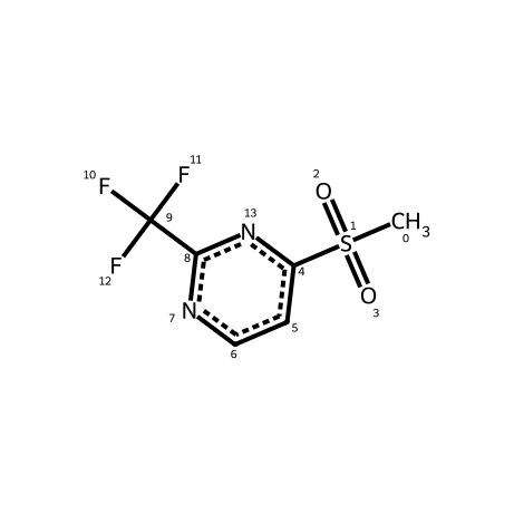 CS(=O)(=O)c1ccnc(C(F)(F)F)n1